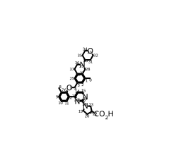 Cc1cc(COc2c(C)cccc2-c2ccnc(N3CCC(C(=O)O)C3)n2)cc2c1CN(C1CCOCC1)CC2